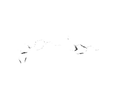 CC[CH]c1ccc(OCCCN2CCC(c3noc4cc(F)ccc34)CC2)c(OC)c1